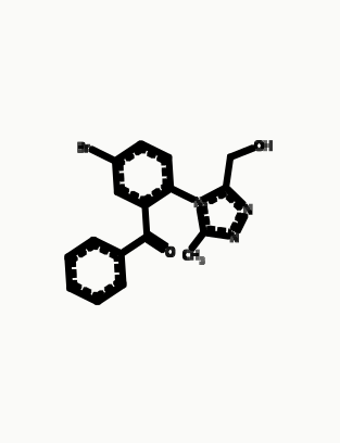 Cc1nnc(CO)n1-c1ccc(Br)cc1C(=O)c1ccccc1